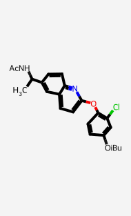 CC(=O)NC(C)c1ccc2nc(Oc3ccc(OCC(C)C)cc3Cl)ccc2c1